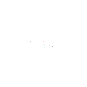 CCCCNC(=O)COC1CCNCC1